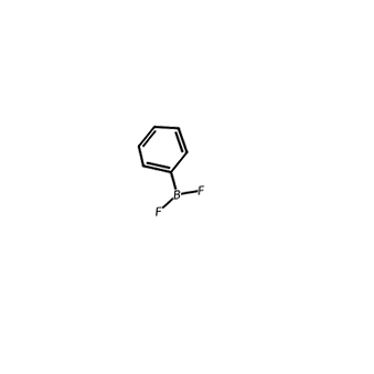 FB(F)c1ccccc1